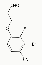 N#Cc1ccc(OCCC=O)c(F)c1Br